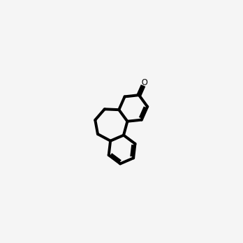 O=C1C=CC2C(CCCC3C=CC=CC32)C1